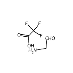 NCC=O.O=C(O)C(F)(F)F